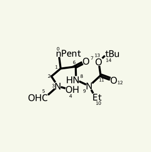 CCCCCC(CN(O)C=O)C(=O)NN(CC)C(=O)OC(C)(C)C